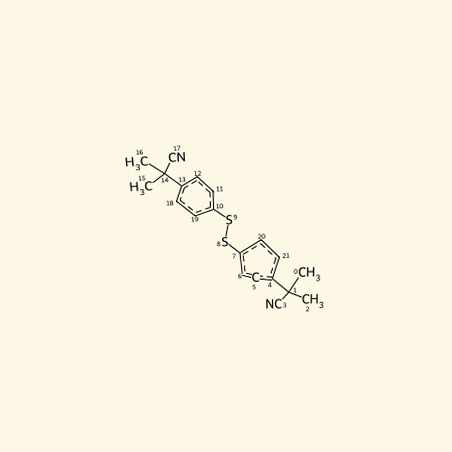 CC(C)(C#N)c1ccc(SSc2ccc(C(C)(C)C#N)cc2)cc1